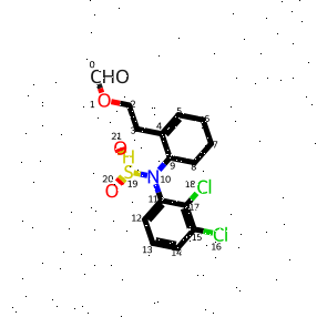 O=COCCC1=CCCCC1N(c1cccc(Cl)c1Cl)[SH](=O)=O